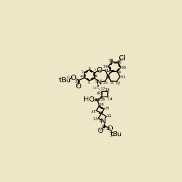 CC(C)(C)OC(=O)c1ccc2c(c1)N(C[C@@H]1CC[C@H]1[C@@H](O)C1=CC3(C1)CN(C(=O)OC(C)(C)C)C3)C[C@@]1(CCCc3cc(Cl)ccc31)CO2